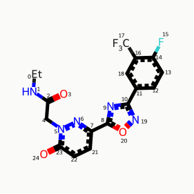 CCNC(=O)Cn1nc(-c2nc(-c3ccc(F)c(C(F)(F)F)c3)no2)ccc1=O